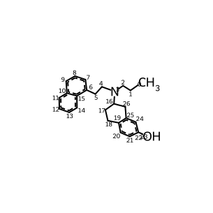 CCCN(CCc1cccc2ccccc12)C1CCc2ccc(O)cc2C1